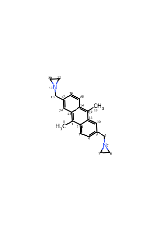 Cc1c2ccc(CN3CC3)cc2c(C)c2ccc(CN3CC3)cc12